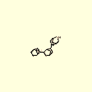 C1CC2NC1CC2C1CC2CC1C(N1CC3CC1CN3)C2